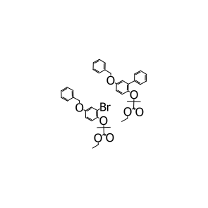 CCOC(=O)C(C)(C)Oc1ccc(OCc2ccccc2)cc1-c1ccccc1.CCOC(=O)C(C)(C)Oc1ccc(OCc2ccccc2)cc1Br